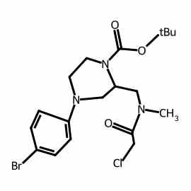 CN(CC1CN(c2ccc(Br)cc2)CCN1C(=O)OC(C)(C)C)C(=O)CCl